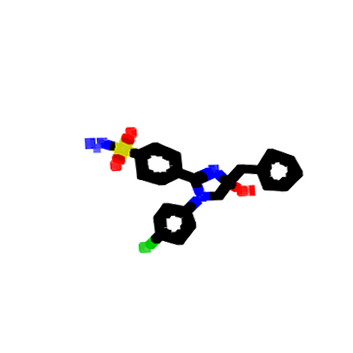 NS(=O)(=O)c1ccc(C2=NC(O)(Cc3ccccc3)CN2c2ccc(Cl)cc2)cc1